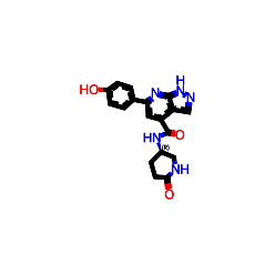 O=C1CC[C@@H](NC(=O)c2cc(-c3ccc(O)cc3)nc3[nH]ncc23)CN1